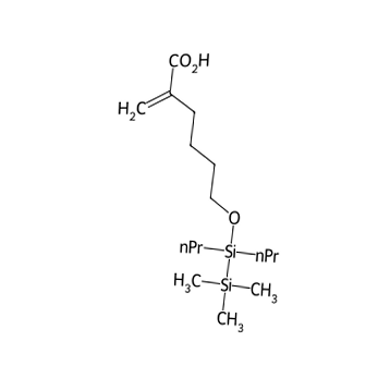 C=C(CCCCO[Si](CCC)(CCC)[Si](C)(C)C)C(=O)O